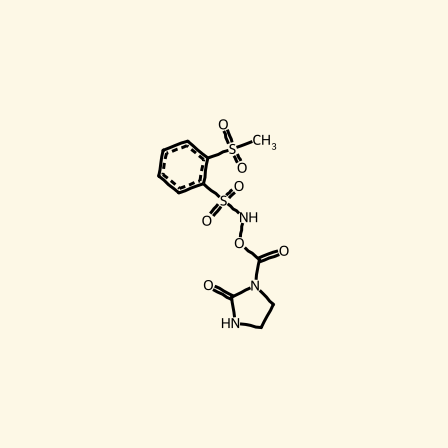 CS(=O)(=O)c1ccccc1S(=O)(=O)NOC(=O)N1CCNC1=O